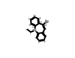 CCN1c2ccccc2C=C(Br)c2ccccc21